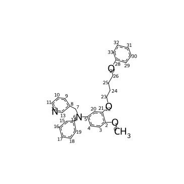 COc1ccc(N(Cc2cccnc2)c2ccccc2)cc1OCCCCOc1ccccc1